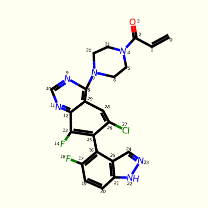 C=CC(=O)N1CCN(c2ncnc3c(F)c(-c4c(F)ccc5[nH]ncc45)c(Cl)cc23)CC1